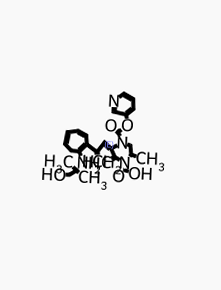 C=C(/C=C1\C(=C)N(C(=O)O)C(C)CN1C(=O)Oc1cccnc1)C1=C(NC(C)(C)CO)CC=CC=C1